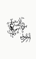 CC(C)(C)[Si](C)(C)OC[C@H](O[Si](C)(C)C(C)(C)C)[C@@H](O[Si](C)(C)C(C)(C)C)[C@@H](CO)O[Si](C)(C)C(C)(C)C